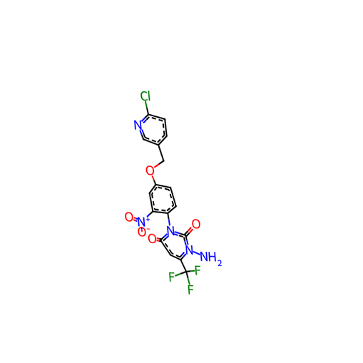 Nn1c(C(F)(F)F)cc(=O)n(-c2ccc(OCc3ccc(Cl)nc3)cc2[N+](=O)[O-])c1=O